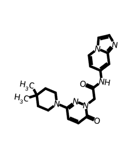 CC1(C)CCN(c2ccc(=O)n(CC(=O)Nc3ccn4ccnc4c3)n2)CC1